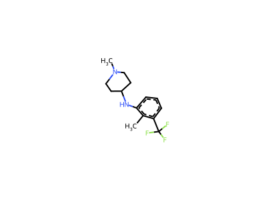 Cc1c(NC2CCN(C)CC2)cccc1C(F)(F)F